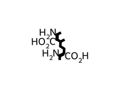 CC(N)=C(CCC(C)C(C(=O)O)=C(C)N)C(=O)O